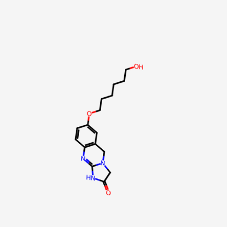 O=C1CN2Cc3cc(OCCCCCCO)ccc3N=C2N1